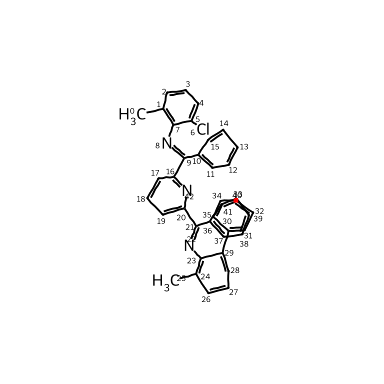 Cc1cccc(Cl)c1/N=C(\c1ccccc1)c1cccc(/C(=N/c2c(C)cccc2-c2ccccc2)c2ccccc2)n1